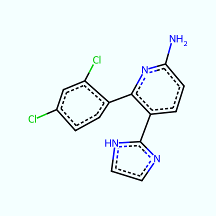 Nc1ccc(-c2ncc[nH]2)c(-c2ccc(Cl)cc2Cl)n1